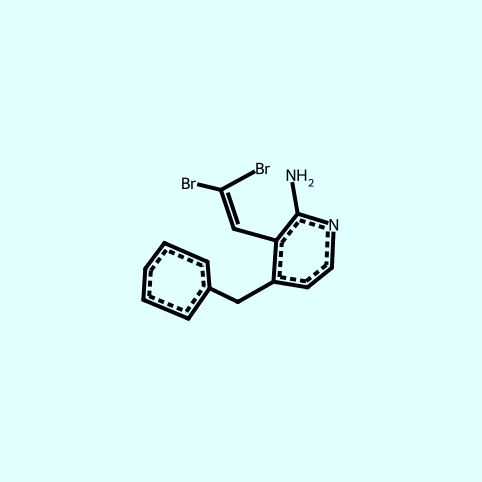 Nc1nccc(Cc2ccccc2)c1C=C(Br)Br